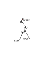 CCCCCCCCCCCCCCCCCCCC(=O)OCC(CCOC(=O)CCCCCCCC1OC1CC1OC1CCCCC)OC(=O)CCCCCCCC1OC1CCCCCCCC